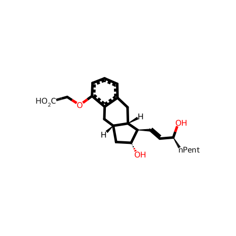 CCCCC[C@H](O)C=C[C@@H]1[C@H]2Cc3cccc(OCC(=O)O)c3C[C@H]2C[C@H]1O